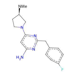 CN[C@@H]1CCN(c2cc(N)nc(Cc3ccc(F)cc3)n2)C1